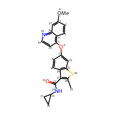 COc1ccc2c(Oc3ccc4c(C(=O)NC5CC5)c(C)sc4c3)ccnc2c1